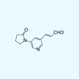 O=C/C=C/c1cncc(N2CCCC2=O)c1